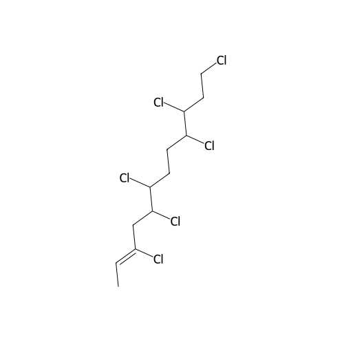 CC=C(Cl)CC(Cl)C(Cl)CCC(Cl)C(Cl)CCCl